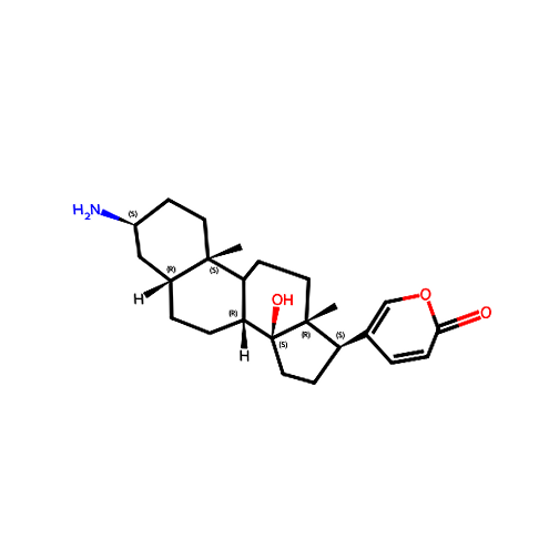 C[C@]12CC[C@H](N)C[C@H]1CC[C@@H]1C2CC[C@]2(C)[C@@H](c3ccc(=O)oc3)CC[C@]12O